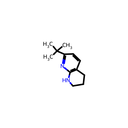 CC(C)(C)c1ccc2c(n1)NCCC2